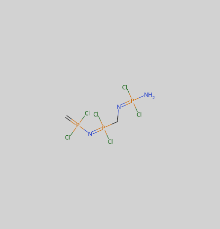 C=P(Cl)(Cl)N=P(Cl)(Cl)CN=P(N)(Cl)Cl